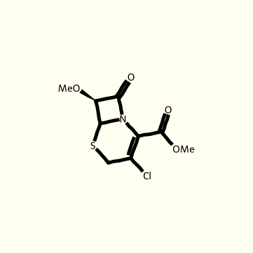 COC(=O)C1=C(Cl)CSC2[C@@H](OC)C(=O)N12